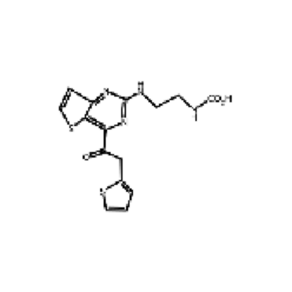 O=C(O)NCCNc1nc(C(=O)Cc2cccs2)c2sccc2n1